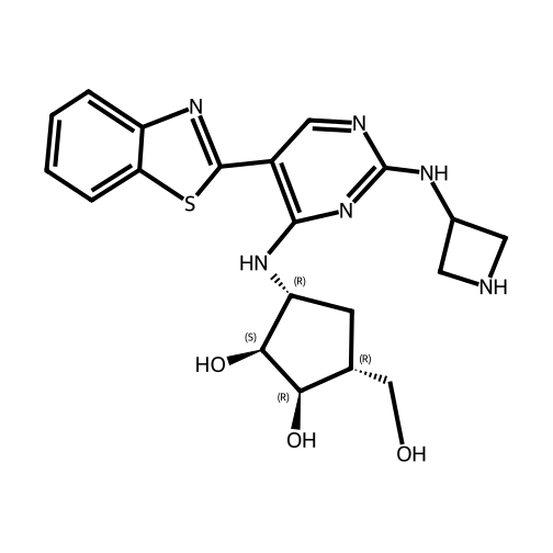 OC[C@H]1C[C@@H](Nc2nc(NC3CNC3)ncc2-c2nc3ccccc3s2)[C@H](O)[C@@H]1O